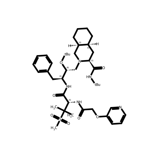 CC(C)(C)NC(=O)[C@@H]1C[C@@H]2CCCC[C@@H]2CN1C[C@@H](OC(C)(C)C)[C@H](Cc1ccccc1)NC(=O)[C@H](NC(=O)COc1cccnc1)C(C)(C)S(C)(=O)=O